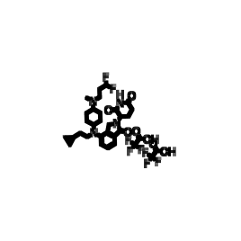 CN(CCC(F)F)C1CCC(N(CCC2CC2)c2cccc3c2CN(C2CCC(=O)NC2=O)C3=O)CC1.O=C(O)C(F)(F)F.O=C(O)C(F)(F)F